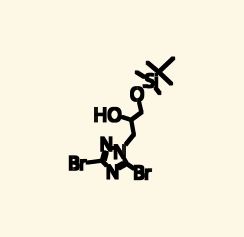 CC(C)(C)[Si](C)(C)OCC(O)Cn1nc(Br)nc1Br